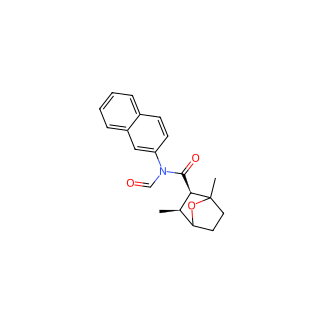 C[C@@H]1C2CCC(C)(O2)[C@@H]1C(=O)N(C=O)c1ccc2ccccc2c1